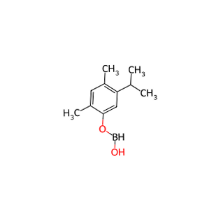 Cc1cc(C)c(C(C)C)cc1OBO